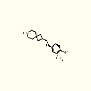 Cc1cc(OCC2CC3(CCNCC3)C2)ccc1Br